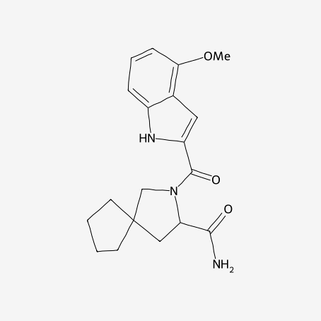 COc1cccc2[nH]c(C(=O)N3CC4(CCCC4)CC3C(N)=O)cc12